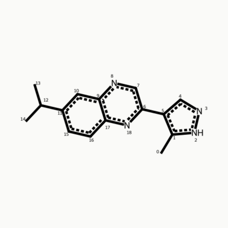 Cc1[nH]ncc1-c1cnc2cc(C(C)C)ccc2n1